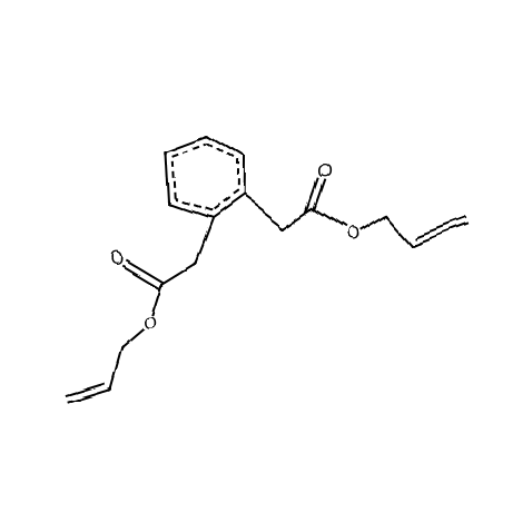 C=CCOC(=O)Cc1ccccc1CC(=O)OCC=C